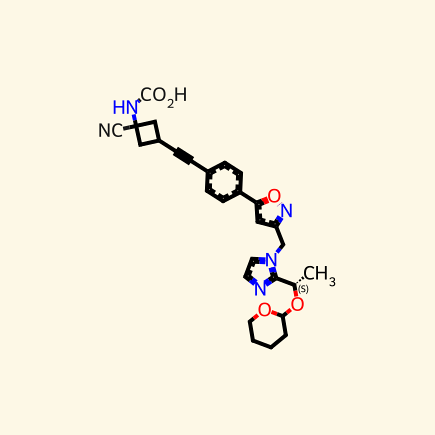 C[C@H](OC1CCCCO1)c1nccn1Cc1cc(-c2ccc(C#CC3CC(C#N)(NC(=O)O)C3)cc2)on1